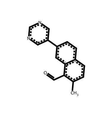 Cc1ccc2ccc(-c3cncnc3)cc2c1C=O